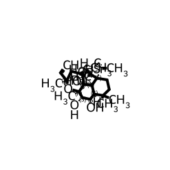 C=C[C@@]1(C)CC(=O)[C@]2(O)[C@]3(C)[C@@H]([C@H](O)[C@H](O)[C@@]2(C)O1)C(C)(C)CC[C@]3([SiH](C)C)C(C)(C)C